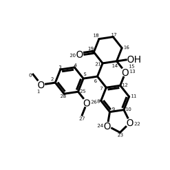 COc1ccc(C2c3cc4c(cc3OC3(O)CCCC(=O)C23)OCO4)c(OC)c1